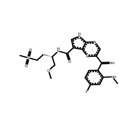 CNc1cc(F)ccc1C(=N)c1cnc2[nH]cc(C(=O)N[C@@H](CCS(C)(=O)=O)COC)c2n1